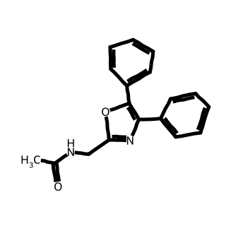 CC(=O)NCc1nc(-c2ccccc2)c(-c2ccccc2)o1